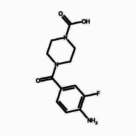 Nc1ccc(C(=O)N2CCN(C(=O)O)CC2)cc1F